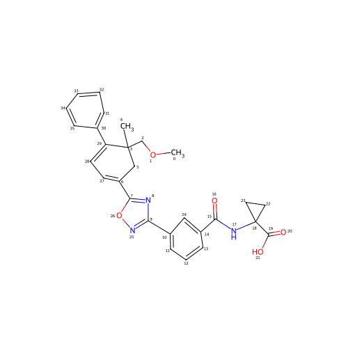 COCC1(C)CC(c2nc(-c3cccc(C(=O)NC4(C(=O)O)CC4)c3)no2)=CC=C1c1ccccc1